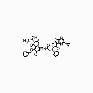 CC(C)N1CCn2c(CNC(=O)C[C@H](NC(=O)c3c[nH]c4ncc(C5CC5)nc34)c3ccccc3)cc(=O)c(OCc3ccccc3)c2C1=O